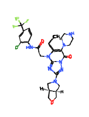 CCc1c(N2CCNCC2)c(=O)n2nc(N3C[C@H]4COC[C@H]4C3)nc2n1CC(=O)Nc1ccc(C(F)(F)F)cc1Cl